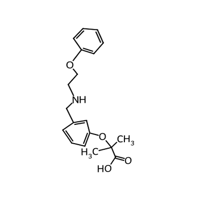 CC(C)(Oc1cccc(CNCCOc2ccccc2)c1)C(=O)O